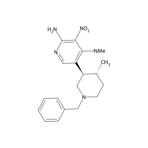 CNc1c([C@@H]2CN(Cc3ccccc3)CC[C@H]2C)cnc(N)c1[N+](=O)[O-]